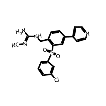 N#CN=C(N)NCc1ccc(-c2ccncc2)cc1S(=O)(=O)c1cccc(Cl)c1